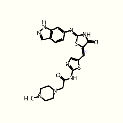 CN1CCN(CC(=O)Nc2ncc(/C=C3\SC(=Nc4ccc5cn[nH]c5c4)NC3=O)s2)CC1